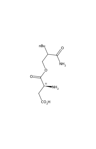 CCCCC(COC(=O)[C@@H](N)CC(=O)O)C(N)=O